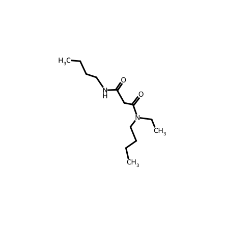 CCCCNC(=O)CC(=O)N(CC)CCCC